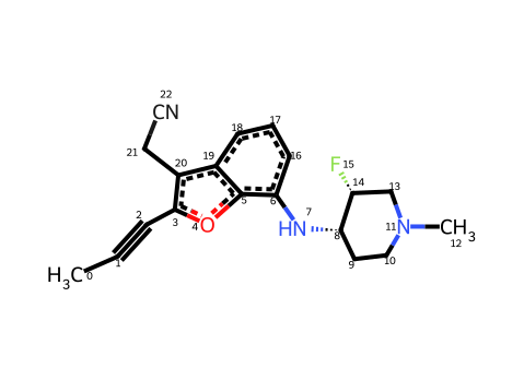 CC#Cc1oc2c(N[C@H]3CCN(C)C[C@H]3F)cccc2c1CC#N